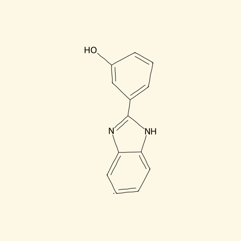 Oc1cccc(-c2nc3c[c]ccc3[nH]2)c1